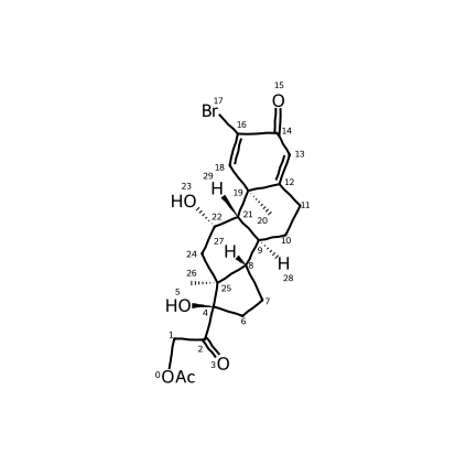 CC(=O)OCC(=O)[C@@]1(O)CC[C@H]2[C@@H]3CCC4=CC(=O)C(Br)=C[C@]4(C)[C@H]3[C@@H](O)C[C@@]21C